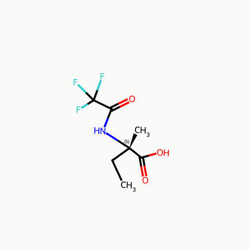 CC[C@](C)(NC(=O)C(F)(F)F)C(=O)O